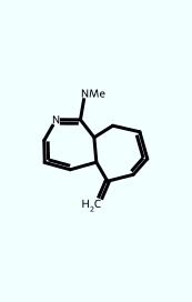 C=C1C=C=CCC2C(NC)=NC=C=CC12